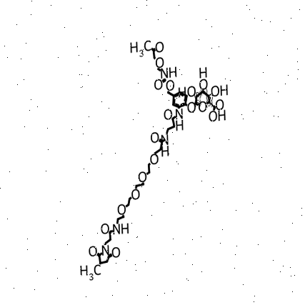 CC(=O)COCNC(=O)OCc1ccc(O[C@@H]2O[C@H](C(=O)O)[C@@H](O)[C@H](O)[C@H]2O)c(NC(=O)CCNC(=O)CCOCCOCCOCCOCCNC(=O)CCN2C(=O)CC(C)C2=O)c1